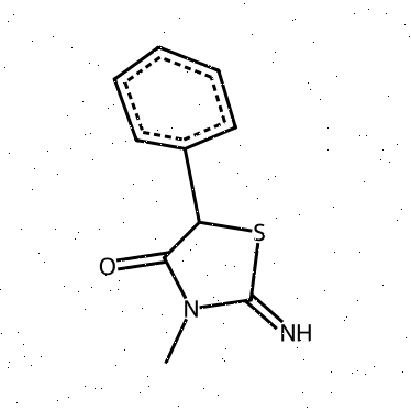 CN1C(=N)SC(c2ccccc2)C1=O